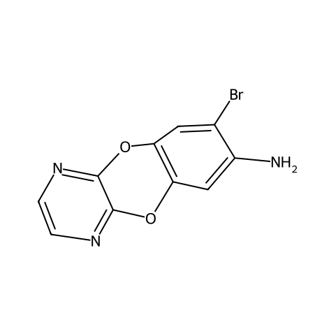 Nc1cc2c(cc1Br)Oc1nccnc1O2